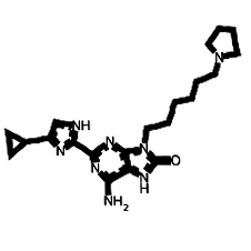 Nc1nc(-c2nc(C3CC3)c[nH]2)nc2c1[nH]c(=O)n2CCCCCCN1CCCC1